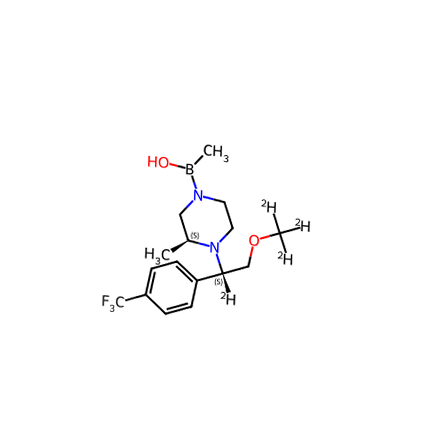 [2H]C([2H])([2H])OC[C@]([2H])(c1ccc(C(F)(F)F)cc1)N1CCN(B(C)O)C[C@@H]1C